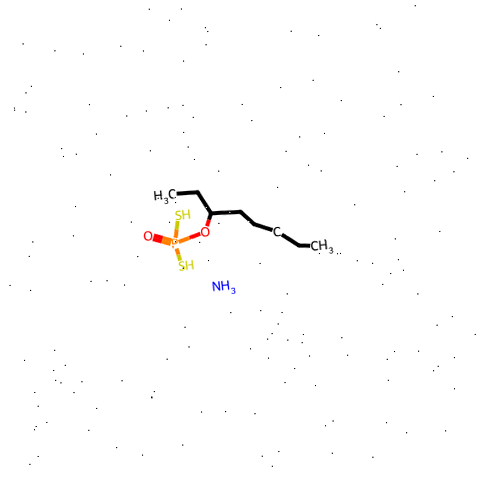 CCCCCC(CC)OP(=O)(S)S.N